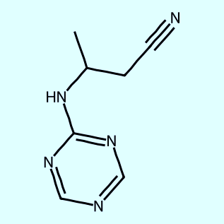 CC(CC#N)Nc1ncncn1